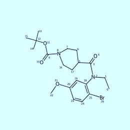 CCN(C(=O)C1CCN(C(=O)OC(C)(C)C)CC1)c1cc(OC)ccc1Br